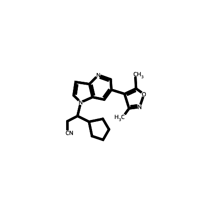 Cc1noc(C)c1-c1cnc2ccn(C(CC#N)C3CCCC3)c2c1